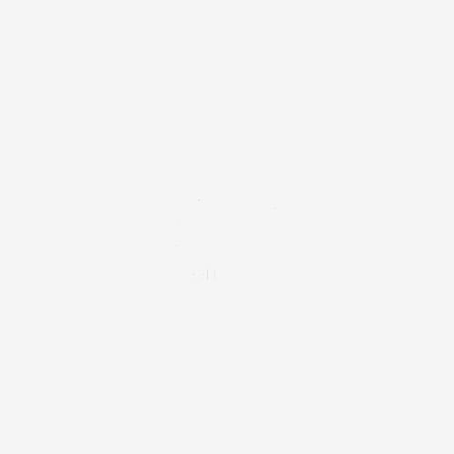 Oc1cc[c]c(C2CCCCC2)c1